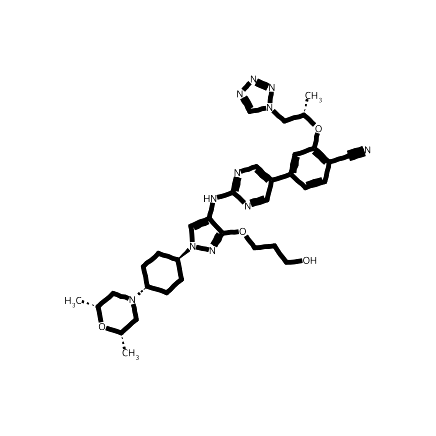 C[C@@H]1CN([C@H]2CC[C@H](n3cc(Nc4ncc(-c5ccc(C#N)c(O[C@@H](C)Cn6cnnn6)c5)cn4)c(OCCCO)n3)CC2)C[C@H](C)O1